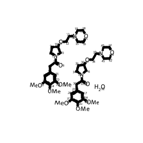 COc1cc(CC(=O)N2CCC(OCCN3CCOCC3)C2)cc(OC)c1OC.COc1cc(CC(=O)N2CCC(OCCN3CCOCC3)C2)cc(OC)c1OC.O